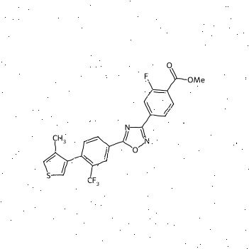 COC(=O)c1ccc(-c2noc(-c3ccc(-c4cscc4C)c(C(F)(F)F)c3)n2)cc1F